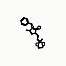 CC1CC(CCC2(C)OCCO2)C(=O)N1Cc1ccccc1